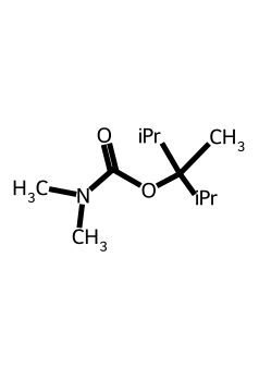 CC(C)C(C)(OC(=O)N(C)C)C(C)C